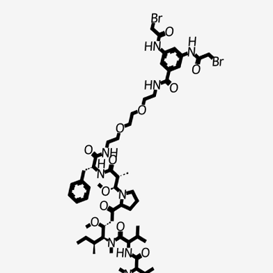 CC[C@H](C)[C@@H]([C@@H](CC(=O)C1CCCN1[C@H](OC)[C@@H](C)C(=O)N[C@H](Cc1ccccc1)C(=O)NCCOCCOCCNC(=O)c1cc(NC(=O)CBr)cc(NC(=O)CBr)c1)OC)N(C)C(=O)C(NC(=O)C(C(C)C)N(C)C)C(C)C